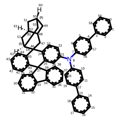 c1ccc(-c2ccc(N(c3ccc(-c4ccccc4)cc3)c3ccc4c(c3)C3(c5ccccc5-c5ccccc53)c3ccccc3C43CC4C[C@H]5C[C@@H]4C[C@H]3C5)cc2)cc1